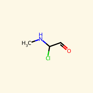 CNC(Cl)C=O